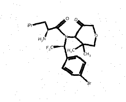 CC(C)C[C@H](N)C(=O)N(C1C(=O)COCC1(C)C)[C@@H](c1ccc(Br)cc1)C(F)(F)F